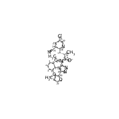 COc1cccc(OC)c1-n1c(N[S+]([O-])C(C)Cc2ncc(Cl)cc2C#N)nnc1-c1ccco1